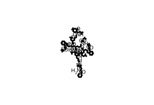 CNC(=O)C(CC(=O)C(CC(C)C)NC(=O)C(CCCCn1cc(CC(N)C(=O)N2CCCCC2)nn1)CC(=O)C(NC(=O)C(CCCCNC(=O)OC(C)(C)C)CC(=O)C(Cc1cc2ccccc2n1C(=O)OC(C)(C)C)NC(=O)C(CCCCNC(CC(C)C)=C1C(=O)CC(C)(C)CC1=O)CC(C)=O)C(C)C)Cc1cc2ccccc2n1C(=O)OC(C)(C)C